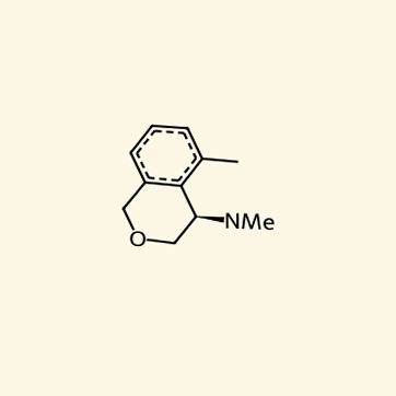 CN[C@H]1COCc2cccc(C)c21